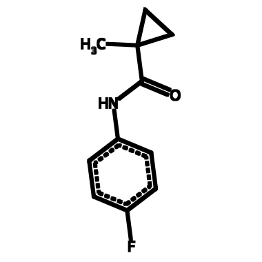 CC1(C(=O)Nc2ccc(F)cc2)CC1